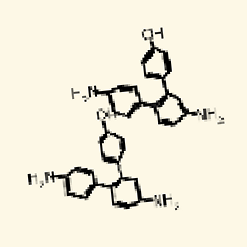 Nc1ccc(-c2ccc(N)cc2-c2ccc(O)cc2)cc1.Nc1ccc(-c2ccc(N)cc2-c2ccc(O)cc2)cc1